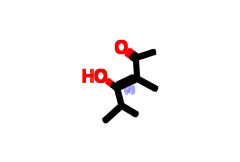 CC(=O)/C(C)=C(\O)C(C)C